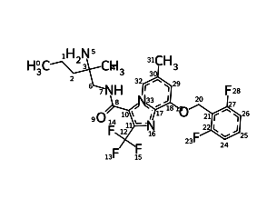 CCCC(C)(N)CNC(=O)c1c(C(F)(F)F)nc2c(OCc3c(F)cccc3F)cc(C)cn12